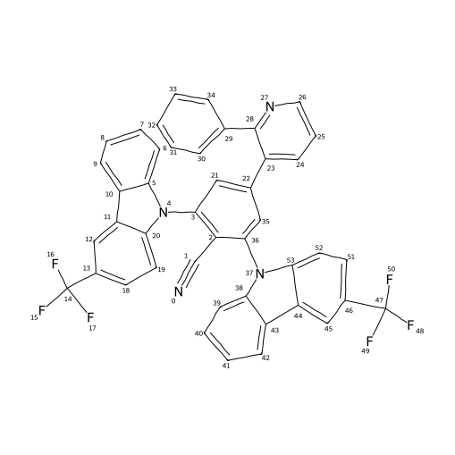 N#Cc1c(-n2c3ccccc3c3cc(C(F)(F)F)ccc32)cc(-c2cccnc2-c2ccccc2)cc1-n1c2ccccc2c2cc(C(F)(F)F)ccc21